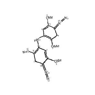 COC1=CC(NC2=C(OC)CC(=[N+]=[N-])C(OC)=C2)=C(OC)CC1=[N+]=[N-]